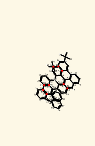 CC(C)(C)c1cc(-c2cccc3cccc(-c4ccccc4N(c4cccc(-c5cccc6sc7ccccc7c56)c4)c4ccccc4-c4cccc5oc6ccccc6c45)c23)cc(C(C)(C)C)c1